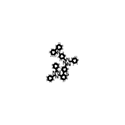 c1ccc(-c2nc(-c3ccc(-n4c5ccccc5c5ccccc54)cc3)nc(-c3ccc4c(c3)sc3cccc(-c5nc(-c6ccccc6)nc(-c6ccccc6)n5)c34)n2)cc1